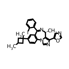 CC1CC(C)(c2ccc3c(c2)C(c2ccccc2I)=N[C@H](C)c2c(-c4cnco4)ncn2-3)C1